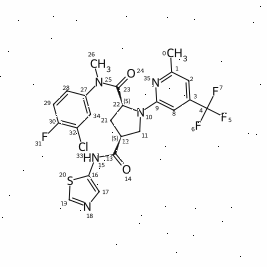 Cc1cc(C(F)(F)F)cc(N2C[C@@H](C(=O)Nc3cncs3)C[C@H]2C(=O)N(C)c2ccc(F)c(Cl)c2)n1